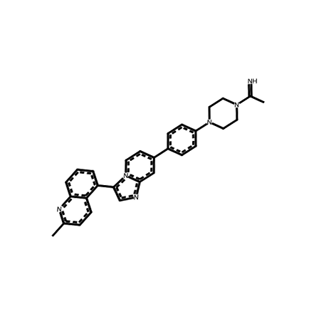 CC(=N)N1CCN(c2ccc(-c3ccn4c(-c5cccc6nc(C)ccc56)cnc4c3)cc2)CC1